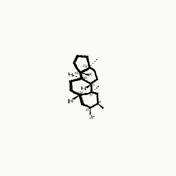 C[C@@H]1C[C@@]2(C)[C@@H](CC[C@H]3[C@@H]4CCC[C@@]4(C)CC[C@@H]32)C[C@@H]1O